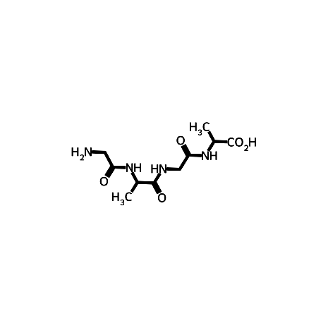 CC(NC(=O)CNC(=O)C(C)NC(=O)CN)C(=O)O